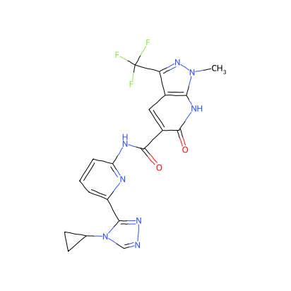 Cn1nc(C(F)(F)F)c2cc(C(=O)Nc3cccc(-c4nncn4C4CC4)n3)c(=O)[nH]c21